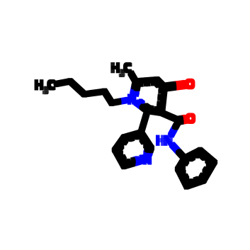 CCCCCn1c(C)cc(=O)c(C(=O)Nc2ccccc2)c1-c1cccnc1